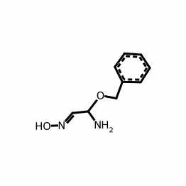 NC(C=NO)OCc1ccccc1